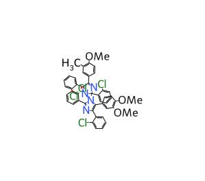 COc1ccc(C2=NC(c3ccccc3Cl)(n3c(-c4ccccc4Cl)nc(-c4ccccc4Cl)c3-c3ccc(OC)c(OC)c3)N=C2c2ccccc2Cl)cc1C